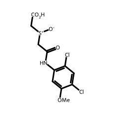 COc1cc(NC(=O)C[S+]([O-])CC(=O)O)c(Cl)cc1Cl